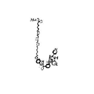 COC(=O)CCCCCOCCOCCOCCCCCCOc1ccc([C@@H](C)NC(=O)c2cccc(NC3(c4nnc(-c5ccncc5)[nH]4)CCN(C)CC3)c2)cc1